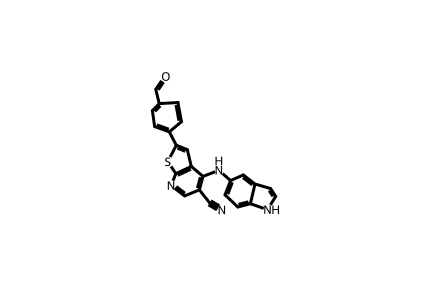 N#Cc1cnc2sc(-c3ccc(C=O)cc3)cc2c1Nc1ccc2[nH]ccc2c1